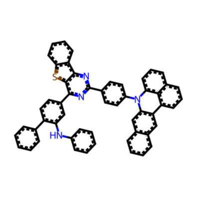 c1ccc(Nc2cc(-c3nc(-c4ccc(N5c6cc7ccccc7cc6-c6cccc7cccc5c67)cc4)nc4c3sc3ccccc34)ccc2-c2ccccc2)cc1